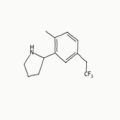 Cc1ccc(CC(F)(F)F)cc1C1CCCN1